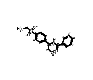 CCS(=O)(=O)c1ccc([C@H](CO)NC(=O)c2cccnc2)cc1